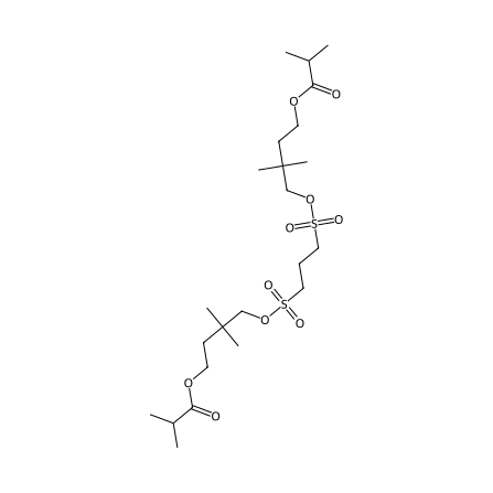 CC(C)C(=O)OCCC(C)(C)COS(=O)(=O)CCCS(=O)(=O)OCC(C)(C)CCOC(=O)C(C)C